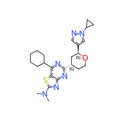 CN(C)c1nc2nc([C@H]3CCO[C@H](c4cnn(C5CC5)c4)C3)nc(C3CCCCC3)c2s1